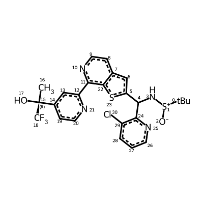 CC(C)(C)[S+]([O-])NC(c1cc2ccnc(-c3cc([C@@](C)(O)C(F)(F)F)ccn3)c2s1)c1ncccc1Cl